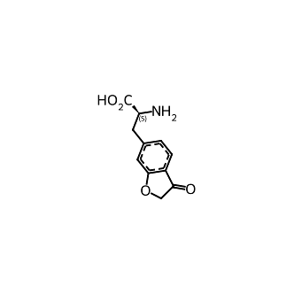 N[C@@H](Cc1ccc2c(c1)OCC2=O)C(=O)O